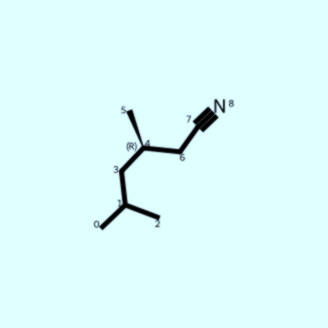 CC(C)C[C@@H](C)CC#N